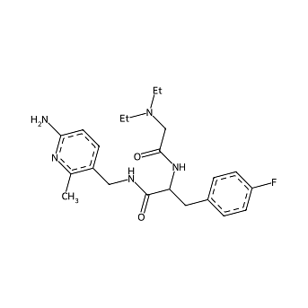 CCN(CC)CC(=O)NC(Cc1ccc(F)cc1)C(=O)NCc1ccc(N)nc1C